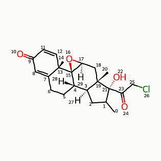 CC1C[C@H]2[C@@H]3CCC4=CC(=O)C=C[C@]4(C)[C@@]34O[C@H]4C[C@]2(C)[C@@]1(O)C(=O)CCl